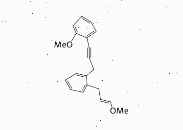 COC=CCc1ccccc1CC#Cc1ccccc1OC